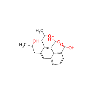 CC(O)Cc1cc2cccc(C(=O)O)c2c(C(=O)O)c1CC(C)O